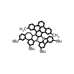 Cc1ccc2c(c1)c1c3c4c(c5c6cc(C)ccc6c6cccc2c6c15)-n1c2ccc(C(C)(C)C)cc2c2cc(C(C)(C)C)cc(c21)B4c1cc(C(C)(C)C)cc2c1C3CCc1ccc(C(C)(C)C)cc1-2